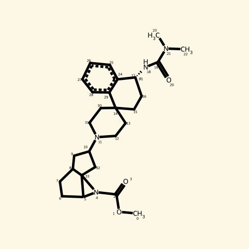 COC(=O)N1C2CCC3CC(N4CCC5(CC[C@@H](NC(=O)N(C)C)c6ccccc65)CC4)CC321